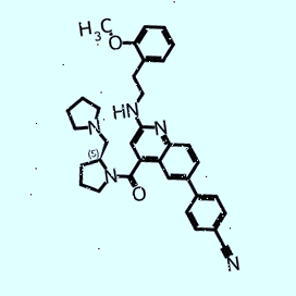 COc1ccccc1CCNc1cc(C(=O)N2CCC[C@H]2CN2CCCC2)c2cc(-c3ccc(C#N)cc3)ccc2n1